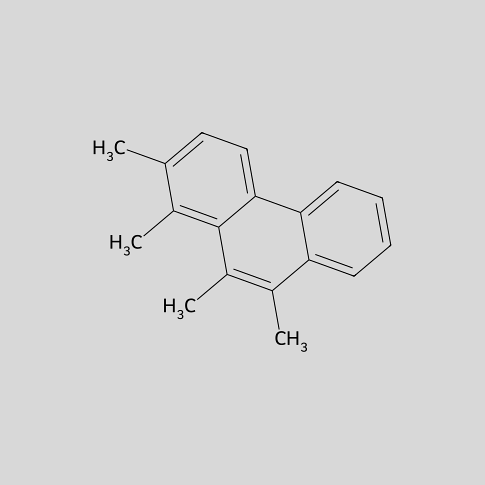 Cc1ccc2c(c1C)c(C)c(C)c1ccccc12